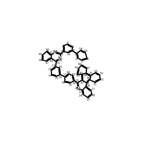 c1ccc(-c2cccc(-c3nc(-c4cccc(-c5ccc(-c6nc7ccccc7c7c8ccccc8c8ccccc8c67)cc5)c4)c4ccccc4n3)c2)cc1